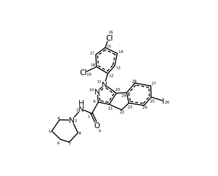 O=C(NN1CCCCC1)c1nn(-c2ccc(Cl)cc2Cl)c2c1Cc1cc(I)ccc1-2